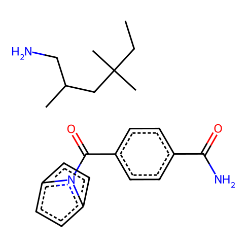 CCC(C)(C)CC(C)CN.NC(=O)c1ccc(C(=O)n2c3ccc2cc3)cc1